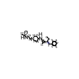 CC/C(=C\c1ccccc1)[C@@H]1C[C@H]1NC1CCN(CCNC(C)=O)CC1